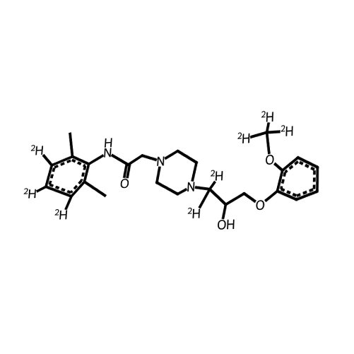 [2H]c1c([2H])c(C)c(NC(=O)CN2CCN(C([2H])([2H])C(O)COc3ccccc3OC([2H])([2H])[2H])CC2)c(C)c1[2H]